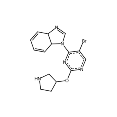 Brc1cnc(OC2CCNC2)nc1N1C=NC2C=CC=CC21